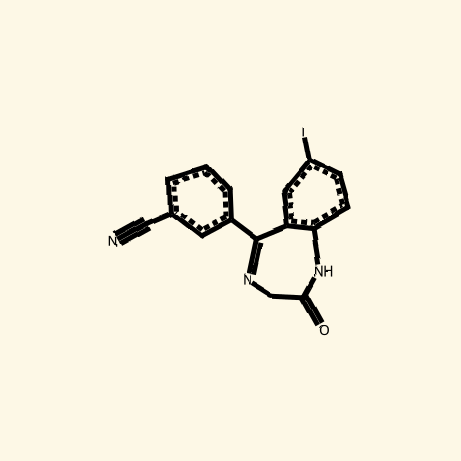 N#Cc1cccc(C2=NCC(=O)Nc3ccc(I)cc32)c1